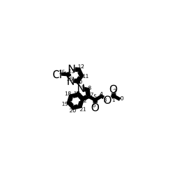 CC(=O)OCC(=O)c1cn(-c2ccnc(Cl)n2)c2ccccc12